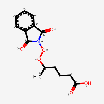 CC(CCCC(=O)O)OON1C(=O)c2ccccc2C1=O